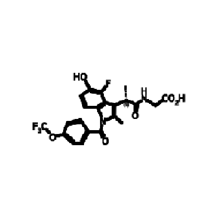 Cc1c([C@H](C)C(=O)NCC(=O)O)c2c(F)c(O)ccc2n1C(=O)c1ccc(OC(F)(F)F)cc1